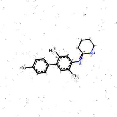 Cc1cc(-c2ccc(C(C)(C)C)cc2)c(C)cc1/N=C1\CCCCN1